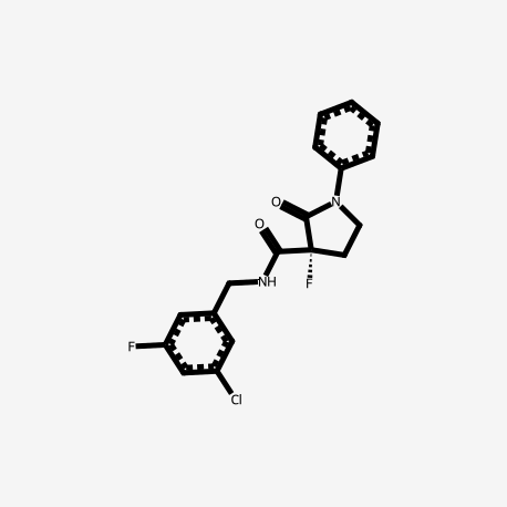 O=C(NCc1cc(F)cc(Cl)c1)[C@]1(F)CCN(c2ccccc2)C1=O